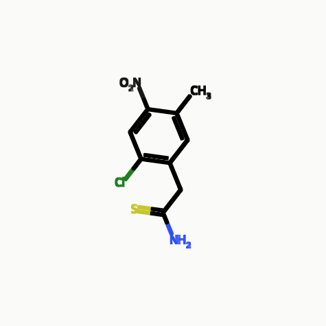 Cc1cc(CC(N)=S)c(Cl)cc1[N+](=O)[O-]